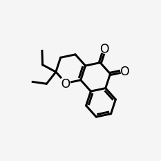 CCC1(CC)CCC2=C(O1)c1ccccc1C(=O)C2=O